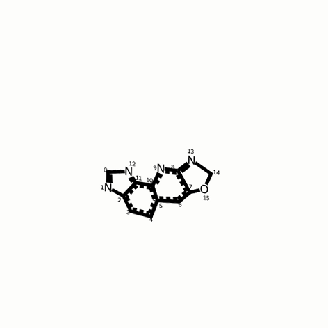 C1=Nc2ccc3cc4c(nc3c2=N1)=NCO4